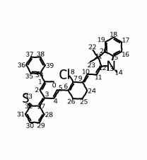 C\C(=C/C(/C=C/C1=C(Cl)C(=C/C=C2/N(C)c3ccccc3C2(C)C)/CCC1)=C1/C=CC=CC1=S)c1ccccc1